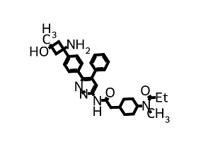 CCC(=O)N(C)C1CCC(CC(=O)Nc2cc(-c3ccccc3)c(-c3ccc(C4(N)CC(C)(O)C4)cc3)nn2)CC1